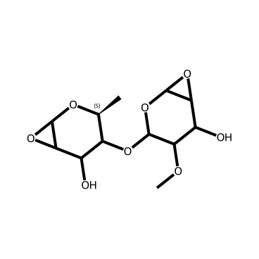 COC1C(OC2C(O)C3OC3O[C@H]2C)OC2OC2C1O